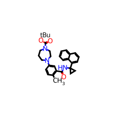 Cc1ccc(N2CCCN(C(=O)OC(C)(C)C)CC2)cc1C(=O)NC1(c2cccc3ccccc23)CC1